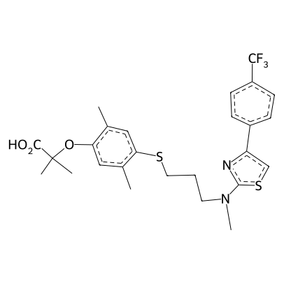 Cc1cc(SCCCN(C)c2nc(-c3ccc(C(F)(F)F)cc3)cs2)c(C)cc1OC(C)(C)C(=O)O